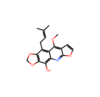 COc1c2ccoc2nc2c(O)c3c(c(CC=C(C)C)c12)OCO3